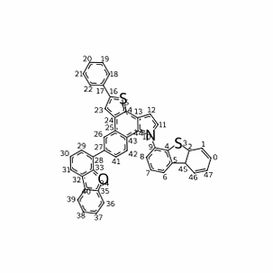 C1=CC2Sc3c(cccc3-n3ccc4c5sc(-c6ccccc6)cc5c5cc(-c6cccc7c6oc6ccccc67)ccc5c43)C2C=C1